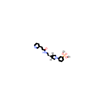 CCOP(=O)(OCC)c1cccc(N2C[C@@H]3[C@@H](CCNC(=O)/C=C/c4cccnc4)[C@@H]3C2)c1